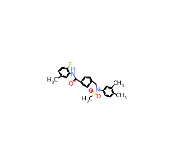 Cc1ccc(F)c(NC(=O)c2ccc(CN(c3ccc(C)c(C)c3)S(C)(=O)=O)cc2)c1